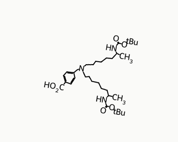 CC(CCCCCCN(CCCCCCC(C)NC(=O)OC(C)(C)C)Cc1ccc(C(=O)O)cc1)NC(=O)OC(C)(C)C